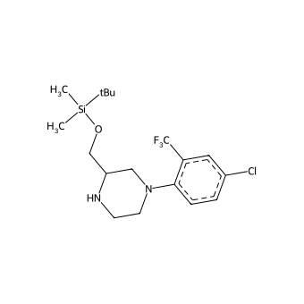 CC(C)(C)[Si](C)(C)OCC1CN(c2ccc(Cl)cc2C(F)(F)F)CCN1